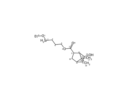 CCO[SiH2]CCCOC(=O)C1CC2CC(O)C1C2(C)C